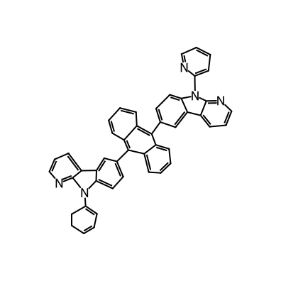 C1=CCCC(n2c3ccc(-c4c5ccccc5c(-c5ccc6c(c5)c5cccnc5n6-c5ccccn5)c5ccccc45)cc3c3cccnc32)=C1